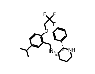 CC(C)c1ccc(OCC(F)(F)F)c(CN[C@H]2CCCN[C@H]2c2ccccc2)c1